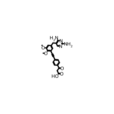 COc1cc(Cc2cnc(N)nc2N)cc(C#Cc2ccc(C(=O)CC(=O)O)cc2)c1OC